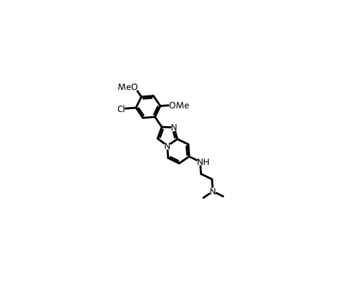 COc1cc(OC)c(-c2cn3ccc(NCCN(C)C)cc3n2)cc1Cl